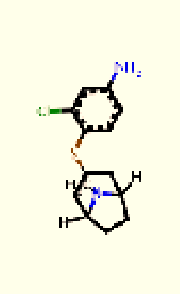 CN1[C@@H]2CC[C@H]1C[C@H](Sc1ccc(N)cc1Cl)C2